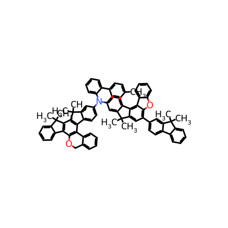 Cc1ccc(-c2ccccc2N(c2ccc3c(c2)C(C)(C)c2cc(-c4ccc5c(c4)C(C)(C)c4ccccc4-5)c4oc5ccccc5c4c2-3)c2ccc3c(c2)C(C)(C)c2c-3c3c(c4c2C(C)(C)c2ccccc2-4)OCc2ccccc2-3)cc1